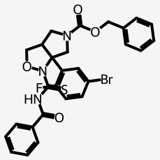 O=C(NC(=S)N1OCC2CN(C(=O)OCc3ccccc3)CC21c1cc(Br)ccc1F)c1ccccc1